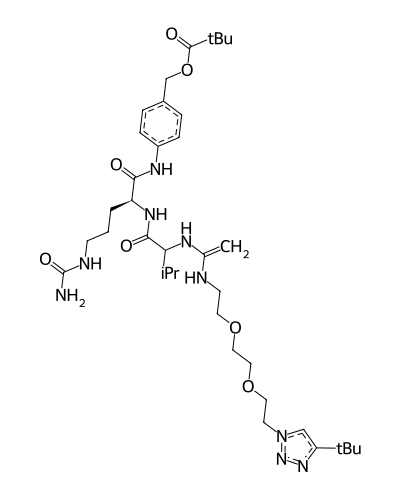 C=C(NCCOCCOCCn1cc(C(C)(C)C)nn1)NC(C(=O)N[C@@H](CCCNC(N)=O)C(=O)Nc1ccc(COC(=O)C(C)(C)C)cc1)C(C)C